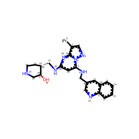 CC(C)c1cnn2c(NCc3cnc4ccccc4c3)cc(NC[C@H]3CCNC[C@@H]3O)nc12